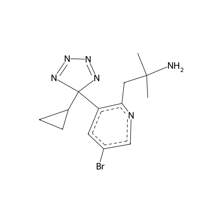 CC(C)(N)Cc1ncc(Br)cc1C1(C2CC2)N=NN=N1